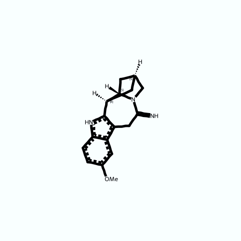 COc1ccc2[nH]c3c(c2c1)CC(=N)N1C[C@H]2C[C@@H]3[C@@H]1C2